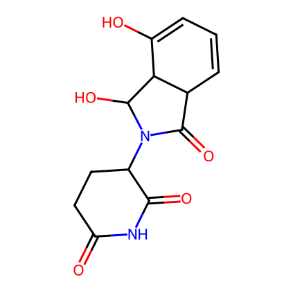 O=C1CCC(N2C(=O)C3C=CC=C(O)C3C2O)C(=O)N1